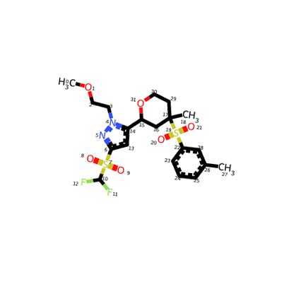 COCCn1nc(S(=O)(=O)C(F)F)cc1C1CC(C)(S(=O)(=O)c2cccc(C)c2)CCO1